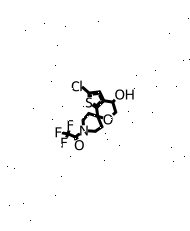 O=C(N1CCC2(CC1)OCC(O)c1cc(Cl)sc12)C(F)(F)F